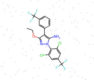 CCOc1nn(-c2c(Cl)cc(C(F)(F)F)cc2Cl)c(N)c1-c1cccc(C(F)(F)F)c1